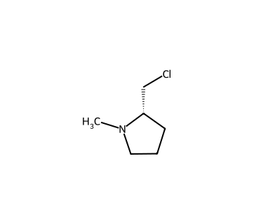 CN1CCC[C@H]1CCl